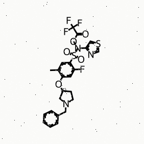 Cc1cc(S(=O)(=O)N(OC(=O)C(F)(F)F)c2cscn2)c(F)cc1O[C@H]1CCN(Cc2ccccc2)C1